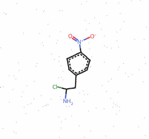 NC(Cl)Cc1ccc([N+](=O)[O-])cc1